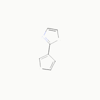 [c]1[se]ccc1-c1ncc[se]1